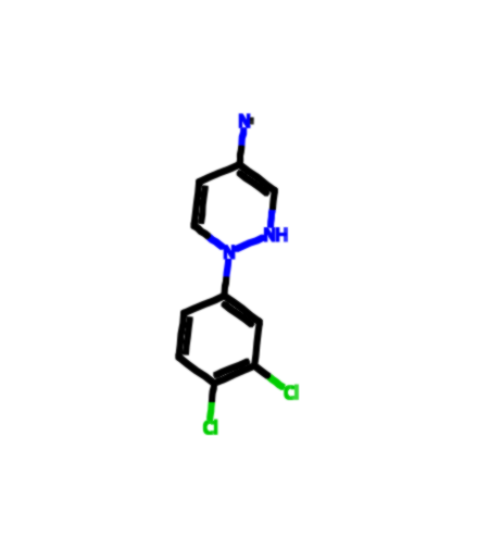 [N]C1=CNN(c2ccc(Cl)c(Cl)c2)C=C1